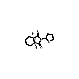 O=C1[C@@H]2CCCC[C@H]2C(=O)N1C1CCC[N]1